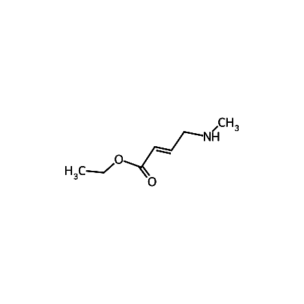 CCOC(=O)/C=C/CNC